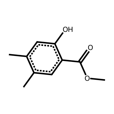 COC(=O)c1cc(C)c(C)cc1O